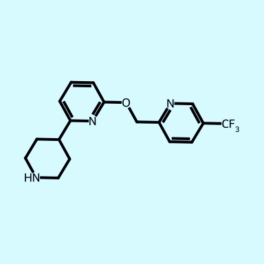 FC(F)(F)c1ccc(COc2cccc(C3CCNCC3)n2)nc1